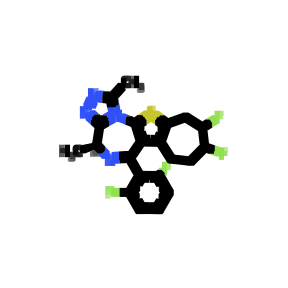 Cc1nnc2n1-c1sc3c(c1C(c1c(F)cccc1F)=N[C@H]2C)CCC(F)C(F)C3